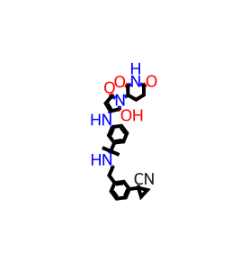 CC(C)(NCCc1cccc(C2(C#N)CC2)c1)c1cccc(NC2=CC(=O)N(C3CCC(=O)NC3=O)C2O)c1